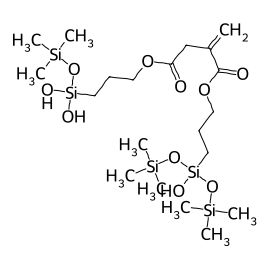 C=C(CC(=O)OCCC[Si](O)(O)O[Si](C)(C)C)C(=O)OCCC[Si](O)(O[Si](C)(C)C)O[Si](C)(C)C